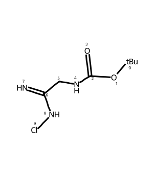 CC(C)(C)OC(=O)NCC(=N)NCl